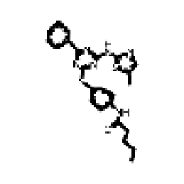 CCCCC(=O)Nc1ccc(Sc2nc(Nc3ncc(C)s3)nc(-c3ccccc3)n2)cc1